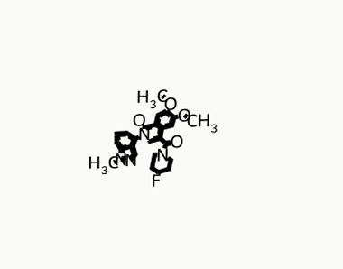 COc1cc2c(C(=O)N3CCC(F)CC3)cn(-c3cccc4c3cnn4C)c(=O)c2cc1OC